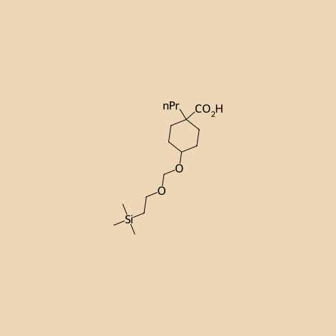 CCCC1(C(=O)O)CCC(OCOCC[Si](C)(C)C)CC1